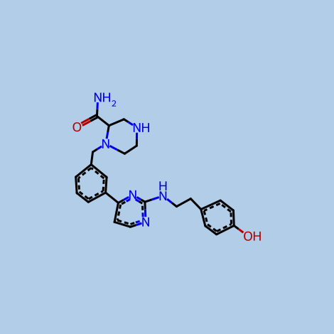 NC(=O)C1CNCCN1Cc1cccc(-c2ccnc(NCCc3ccc(O)cc3)n2)c1